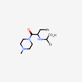 CCC(NC(CC(C)C)C(=O)N1CCN(C)CC1)C(=O)O